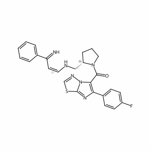 N=C(/C=C\NC[C@@H]1CCCN1C(=O)c1c(-c2ccc(F)cc2)nc2scnn12)c1ccccc1